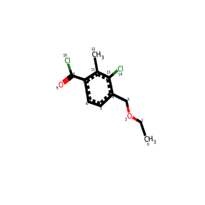 CCOCc1ccc(C(=O)Cl)c(C)c1Cl